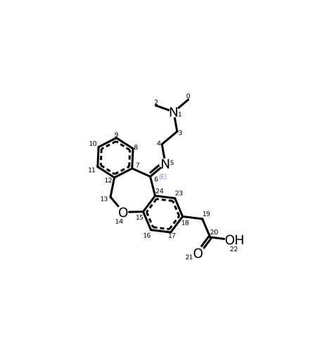 CN(C)CC/N=C1\c2ccccc2COc2ccc(CC(=O)O)cc21